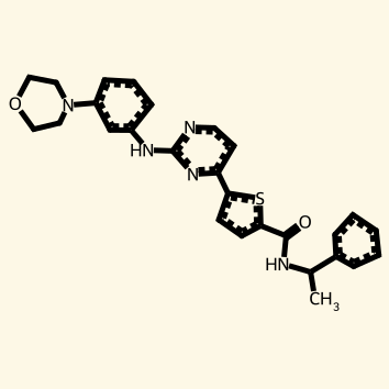 CC(NC(=O)c1ccc(-c2ccnc(Nc3cccc(N4CCOCC4)c3)n2)s1)c1ccccc1